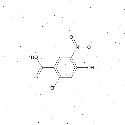 O=C(O)c1cc([N+](=O)[O-])c(O)cc1Cl